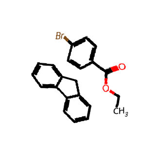 CCOC(=O)c1ccc(Br)cc1.c1ccc2c(c1)Cc1ccccc1-2